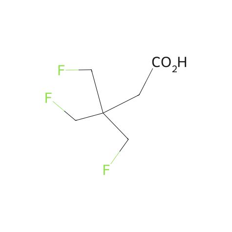 O=C(O)CC(CF)(CF)CF